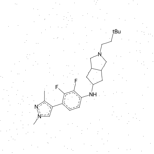 Cc1nn(C)cc1-c1ccc(NC2CC3CN(CCC(C)(C)C)CC3C2)c(F)c1F